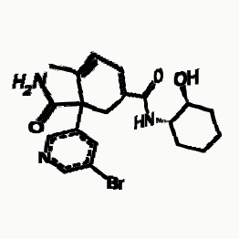 CC1=CC=C(C(=O)N[C@H]2CCCC[C@@H]2O)CC1(C(N)=O)c1cncc(Br)c1